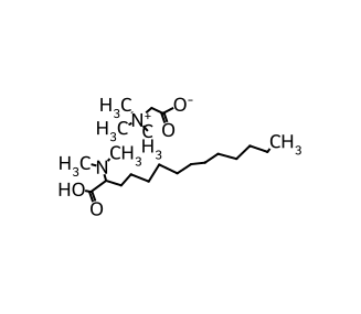 CCCCCCCCCCCCC(C(=O)O)N(C)C.C[N+](C)(C)CC(=O)[O-]